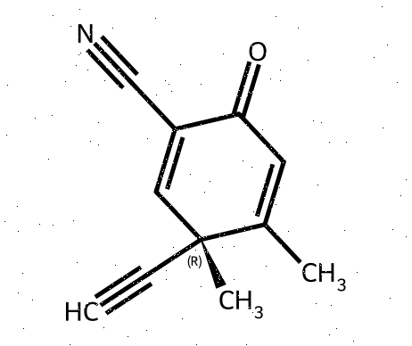 C#C[C@]1(C)C=C(C#N)C(=O)C=C1C